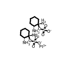 N[C@@H]1CCCC[C@]1(N)OS(=O)(=O)[O-].N[C@@H]1CCCC[C@]1(N)OS(=O)(=O)[O-].[Pt+2]